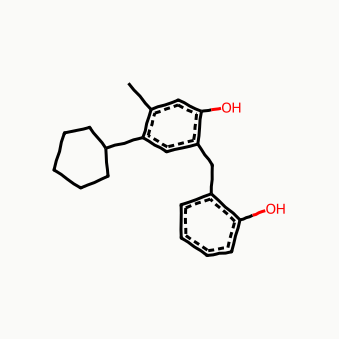 Cc1cc(O)c(Cc2ccccc2O)cc1C1CCCCC1